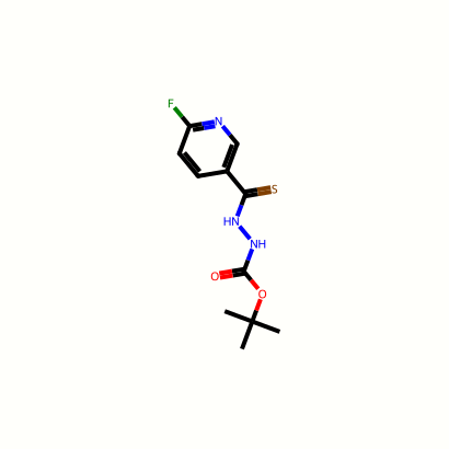 CC(C)(C)OC(=O)NNC(=S)c1ccc(F)nc1